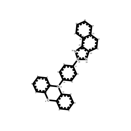 c1ccc2c(c1)Oc1ccccc1N2c1ccc(-n2nc3ccc4ccccc4c3n2)cc1